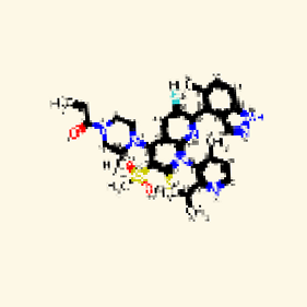 C=CC(=O)N1CCN(c2c(S(C)(=O)=O)c(=S)n(-c3c(C)ccnc3C(C)C)c3nc(-c4c(C)ccc5[nH]ncc45)c(F)cc23)[C@@H](C)C1